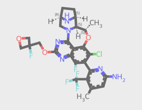 Cc1cc(N)nc(-c2c(Cl)c3c4c(nc(OCC5(F)COC5)nc4c2F)N2C[C@H]4CC[C@H](N4)[C@H]2[C@H](C)O3)c1C(F)(F)F